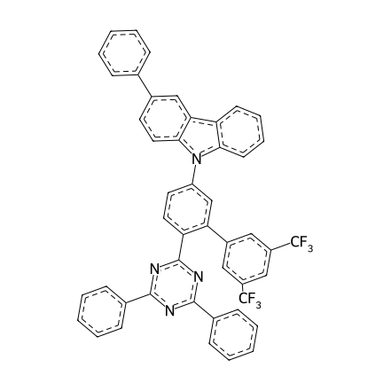 FC(F)(F)c1cc(-c2cc(-n3c4ccccc4c4cc(-c5ccccc5)ccc43)ccc2-c2nc(-c3ccccc3)nc(-c3ccccc3)n2)cc(C(F)(F)F)c1